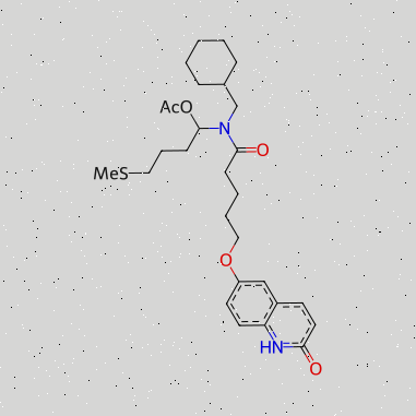 CSCCCC(OC(C)=O)N(CC1CCCCC1)C(=O)CCCCOc1ccc2[nH]c(=O)ccc2c1